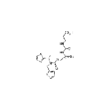 CCCC[C@@H](COC(=O)N(Cc1cccs1)C(C)c1cccs1)NC(=O)NCCC(=O)O